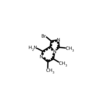 Cc1nc(N)c2c(Br)nc(C)n2c1C